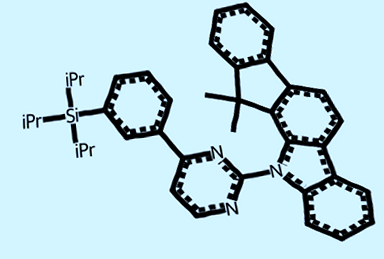 CC(C)[Si](c1cccc(-c2ccnc(-n3c4ccccc4c4ccc5c(c43)C(C)(C)c3ccccc3-5)n2)c1)(C(C)C)C(C)C